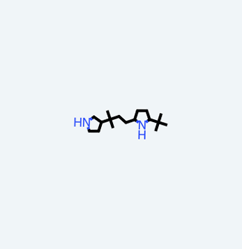 CC(C)(C)C1CCC(CCC(C)(C)C2CCNC2)N1